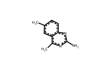 Cc1ccc2nc(N)nc(C)c2c1